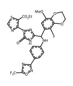 CCOC(=O)c1scnc1-n1nc(C(Nc2ccc(-c3noc(C(F)(F)F)n3)cc2)c2cc(OC)c3c(c2F)OCCO3)[nH]c1=O